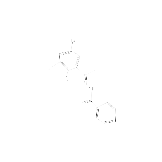 C/C(=N\NC(=O)c1ccccc1)c1cc(Br)cc(Br)c1O